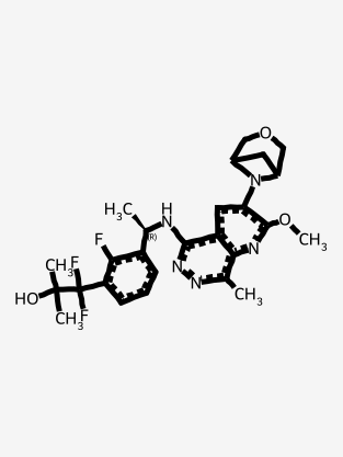 COc1nc2c(C)nnc(N[C@H](C)c3cccc(C(F)(F)C(C)(C)O)c3F)c2cc1N1C2COCC1C2